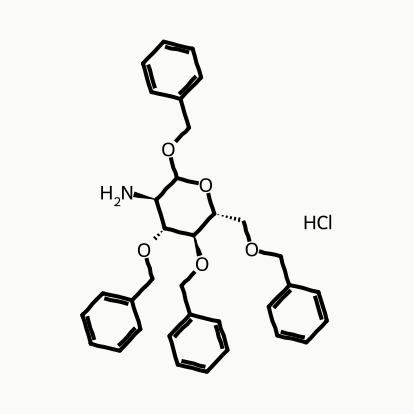 Cl.N[C@H]1C(OCc2ccccc2)O[C@H](COCc2ccccc2)[C@@H](OCc2ccccc2)[C@@H]1OCc1ccccc1